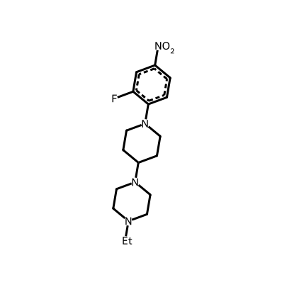 CCN1CCN(C2CCN(c3ccc([N+](=O)[O-])cc3F)CC2)CC1